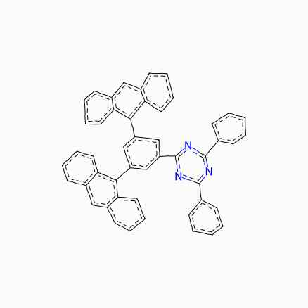 c1ccc(-c2nc(-c3ccccc3)nc(-c3cc(-c4c5ccccc5cc5ccccc45)cc(-c4c5ccccc5cc5ccccc45)c3)n2)cc1